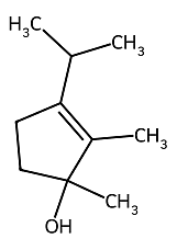 CC1=C(C(C)C)CCC1(C)O